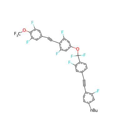 CCCCc1ccc(C#Cc2ccc(C(F)(F)Oc3cc(F)c(C#Cc4cc(F)c(OC(F)(F)F)c(F)c4)c(F)c3)c(F)c2)c(F)c1